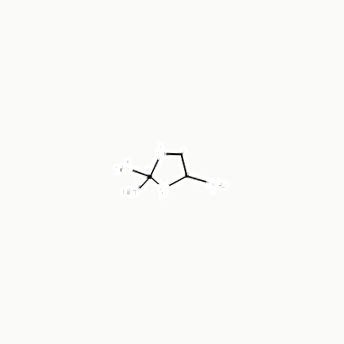 CCC[CH]C1COC(CCC)(CCC)O1